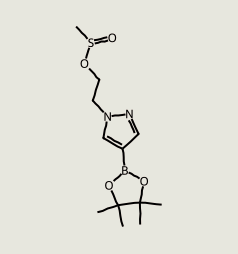 CS(=O)OCCn1cc(B2OC(C)(C)C(C)(C)O2)cn1